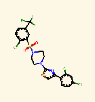 O=S(=O)(c1cc(C(F)(F)F)ccc1Cl)N1CCN(c2nc(-c3ccc(Cl)cc3Cl)cs2)CC1